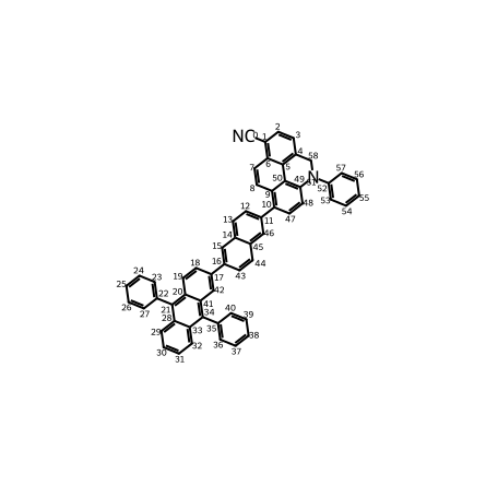 N#Cc1ccc2c3c1ccc1c(-c4ccc5cc(-c6ccc7c(-c8ccccc8)c8ccccc8c(-c8ccccc8)c7c6)ccc5c4)ccc(c13)N(c1ccccc1)C2